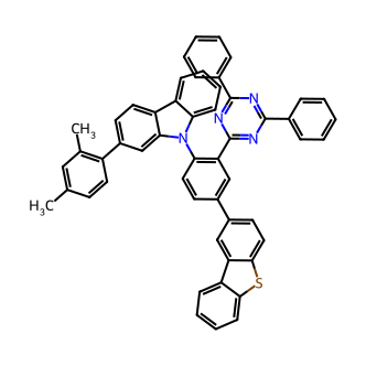 Cc1ccc(-c2ccc3c4ccccc4n(-c4ccc(-c5ccc6sc7ccccc7c6c5)cc4-c4nc(-c5ccccc5)nc(-c5ccccc5)n4)c3c2)c(C)c1